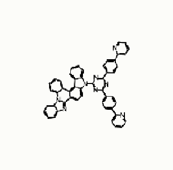 c1ccc(-c2ccc(-c3nc(-c4ccc(-c5ccccn5)cc4)nc(-n4c5ccccc5c5c6c7ccccc7n7c8ccccc8nc7c6ccc54)n3)cc2)nc1